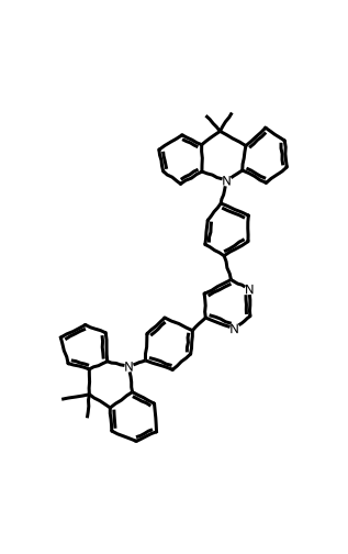 CC1(C)c2ccccc2N(c2ccc(-c3cc(-c4ccc(N5c6ccccc6C(C)(C)c6ccccc65)cc4)ncn3)cc2)c2ccccc21